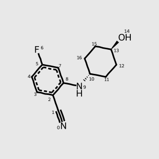 N#Cc1ccc(F)cc1N[C@H]1CC[C@H](O)CC1